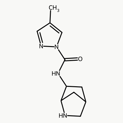 Cc1cnn(C(=O)NC2CC3CNC2C3)c1